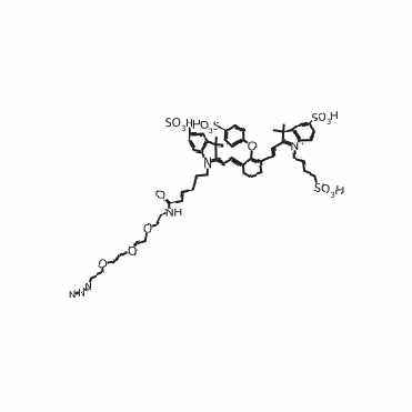 CC1(C)C(/C=C/C2=C(Oc3ccc(S(=O)(=O)O)cc3)C(=C/C=C3/N(CCCCCC(=O)NCCOCCOCCOCCN=[N+]=[N-])c4ccc(S(=O)(=O)O)cc4C3(C)C)/CCC2)=[N+](CCCCS(=O)(=O)O)c2ccc(S(=O)(=O)O)cc21